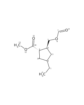 CCC1C[C@H](COC=O)[C@@H](C(=O)OC)C1